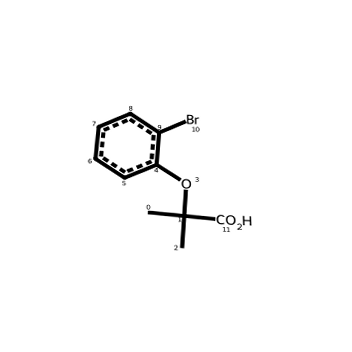 CC(C)(Oc1ccccc1Br)C(=O)O